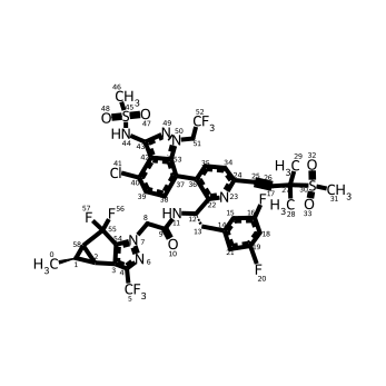 C[C@@H]1C2c3c(C(F)(F)F)nn(CC(=O)N[C@@H](Cc4cc(F)cc(F)c4)c4nc(C#CC(C)(C)S(C)(=O)=O)ccc4-c4ccc(Cl)c5c(NS(C)(=O)=O)nn(CC(F)(F)F)c45)c3C(F)(F)C21